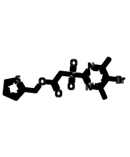 Cc1nc(S(=O)(=O)CC(=O)OCc2cccs2)nc(C)c1Br